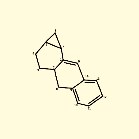 C1=C2C(CCC3CC23)Cc2ccccc21